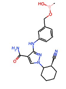 CB(O)OCc1cccc(Nc2nn(C3CCCC[C@@H]3C#N)cc2C(N)=O)c1